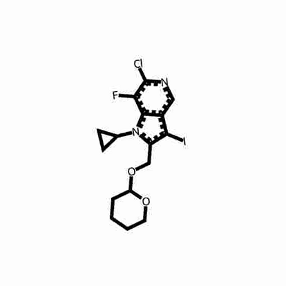 Fc1c(Cl)ncc2c(I)c(COC3CCCCO3)n(C3CC3)c12